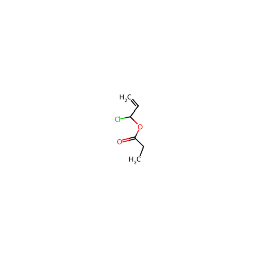 C=CC(Cl)OC(=O)CC